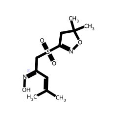 CC(C)=C/C(CS(=O)(=O)C1=NOC(C)(C)C1)=N\O